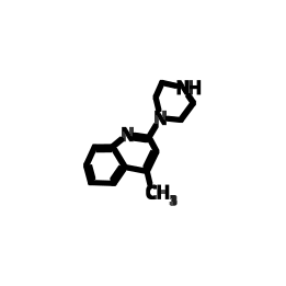 Cc1cc(N2CCNCC2)nc2ccccc12